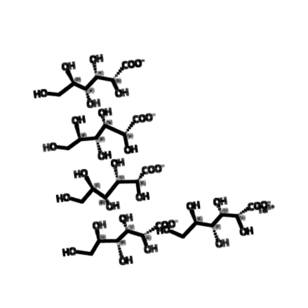 O=C([O-])[C@H](O)[C@@H](O)[C@H](O)[C@H](O)CO.O=C([O-])[C@H](O)[C@@H](O)[C@H](O)[C@H](O)CO.O=C([O-])[C@H](O)[C@@H](O)[C@H](O)[C@H](O)CO.O=C([O-])[C@H](O)[C@@H](O)[C@H](O)[C@H](O)CO.O=C([O-])[C@H](O)[C@@H](O)[C@H](O)[C@H](O)CO.[Ta+5]